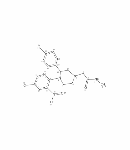 CNC(=O)CN1CCN(c2ncc(Cl)cc2[N+](=O)[O-])C(c2ccc(Cl)cc2)C1